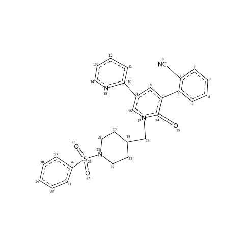 N#Cc1ccccc1-c1cc(-c2ccccn2)cn(CC2CCN(S(=O)(=O)c3ccccc3)CC2)c1=O